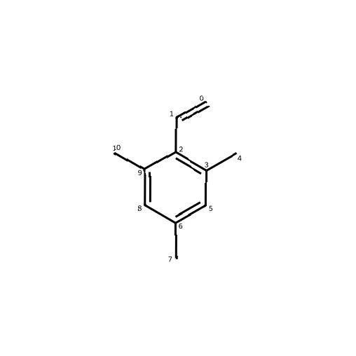 C=[C]c1c(C)cc(C)cc1C